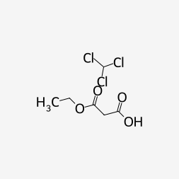 CCOC(=O)CC(=O)O.ClC(Cl)Cl